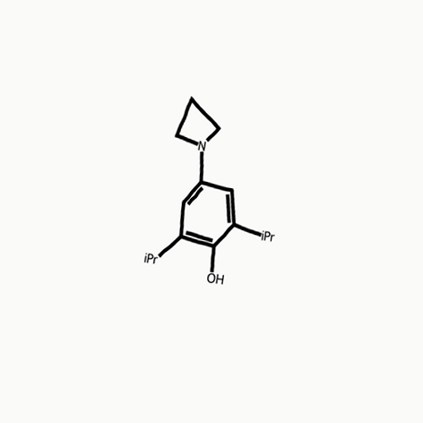 CC(C)c1cc(N2CCC2)cc(C(C)C)c1O